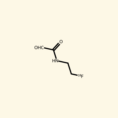 O=CC(=O)NCC[18F]